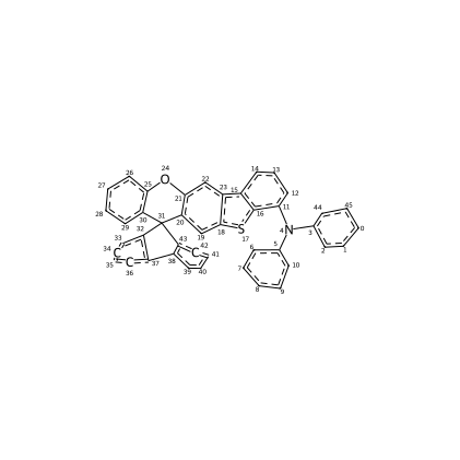 c1ccc(N(c2ccccc2)c2cccc3c2sc2cc4c(cc23)Oc2ccccc2C42c3ccccc3-c3ccccc32)cc1